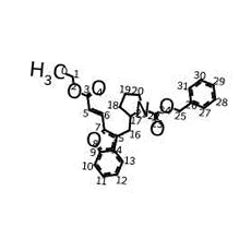 CCOC(=O)C=Cc1oc2ccccc2c1CC1CCCN1C(=O)OCc1ccccc1